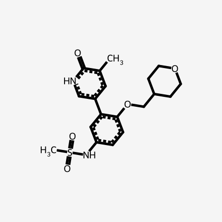 Cc1cc(-c2cc(NS(C)(=O)=O)ccc2OCC2CCOCC2)c[nH]c1=O